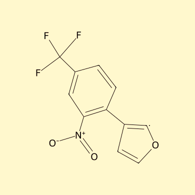 O=[N+]([O-])c1cc(C(F)(F)F)ccc1-c1[c]occ1